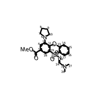 COC(=O)c1cc(N2CCCC2)c(Oc2ccccc2)c(S(=O)(=O)N=CN(C)C)c1